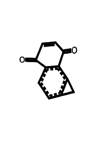 O=C1C=CC(=O)c2c1ccc1c2C1